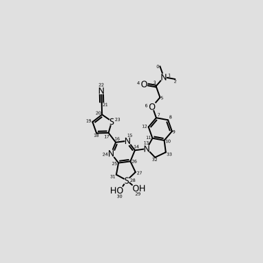 CN(C)C(=O)COc1ccc2c(c1)N(c1nc(-c3ccc(C#N)s3)nc3c1CS(O)(O)C3)CC2